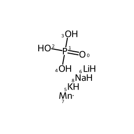 O=P(O)(O)O.[KH].[LiH].[Mn].[NaH]